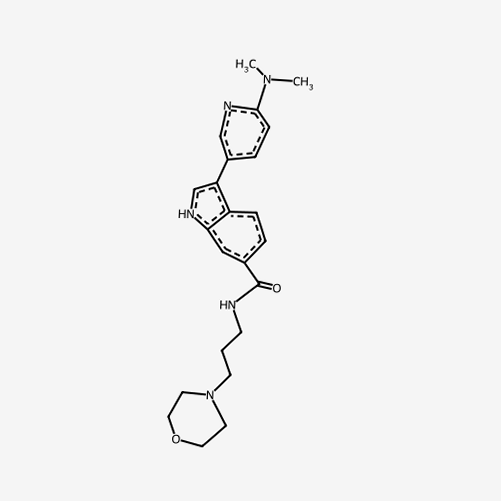 CN(C)c1ccc(-c2c[nH]c3cc(C(=O)NCCCN4CCOCC4)ccc23)cn1